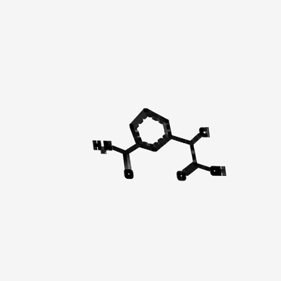 NC(=O)c1cccc(C(Cl)C(=O)O)c1